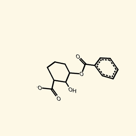 [O]C(=O)C1CCCC(OC(=O)c2ccccc2)C1O